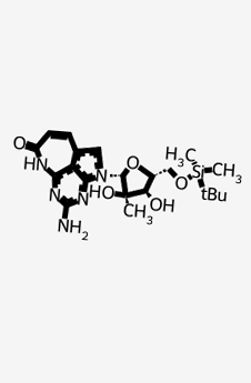 CC(C)(C)[Si](C)(C)OC[C@H]1O[C@@H](n2cc3c4c(nc(N)nc42)NC(=O)C=C3)[C@](C)(O)[C@@H]1O